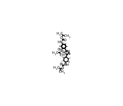 CC(C)OC(=O)Nc1ccc(-c2nnc(C3CCC(NC(=O)OC(C)C)CC3)s2)c(S(=O)(=O)C(C)C)c1